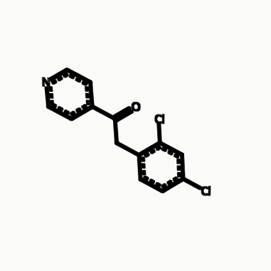 O=C(Cc1ccc(Cl)cc1Cl)c1ccncc1